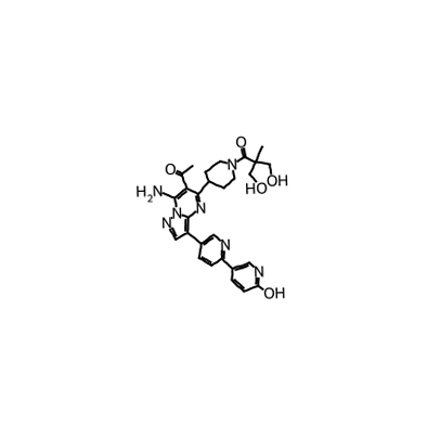 CC(=O)c1c(C2CCN(C(=O)C(C)(CO)CO)CC2)nc2c(-c3ccc(-c4ccc(O)nc4)nc3)cnn2c1N